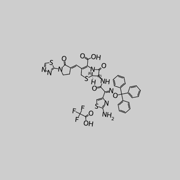 Nc1nc(C(=NOC(c2ccccc2)(c2ccccc2)c2ccccc2)C(=O)N[C@@H]2C(=O)N3C(C(=O)O)=C(C=C4CCN(c5nncs5)C4=O)CS[C@H]23)cs1.O=C(O)C(F)(F)F